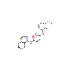 CC1C(OC(=O)/C=C\C(=O)Oc2nccc3ccccc23)C=CCC1C(F)(F)F